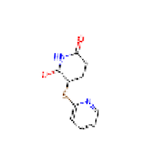 O=C1CCC(Sc2ccccn2)C(=O)N1